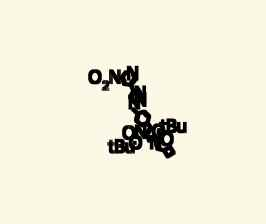 CC(C)(C)OC(=O)N(Cc1cc2ccc(Cn3cc(-c4cncc([N+](=O)[O-])c4)nn3)cc2n1C(=O)OC(C)(C)C)CC1CCC1